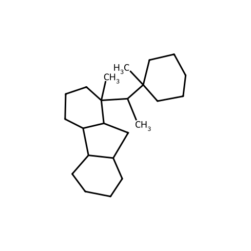 CC(C1(C)CCCCC1)C1(C)CCCC2C3CCCCC3CC21